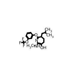 CNC1=C(O)CCC(CC(C)C)C(Oc2cccc(OC(F)(F)F)c2)=N1